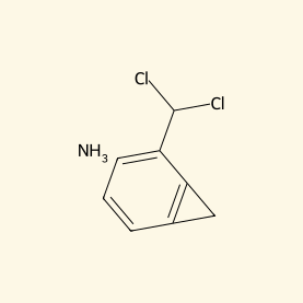 ClC(Cl)c1cccc2c1C2.N